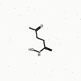 C=C(CCC(C)=O)NO